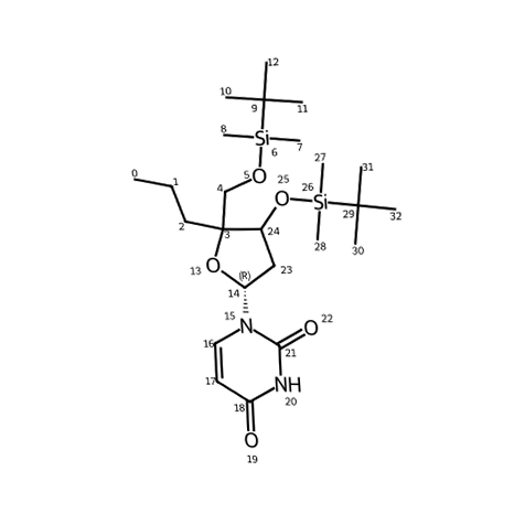 CCCC1(CO[Si](C)(C)C(C)(C)C)O[C@@H](n2ccc(=O)[nH]c2=O)CC1O[Si](C)(C)C(C)(C)C